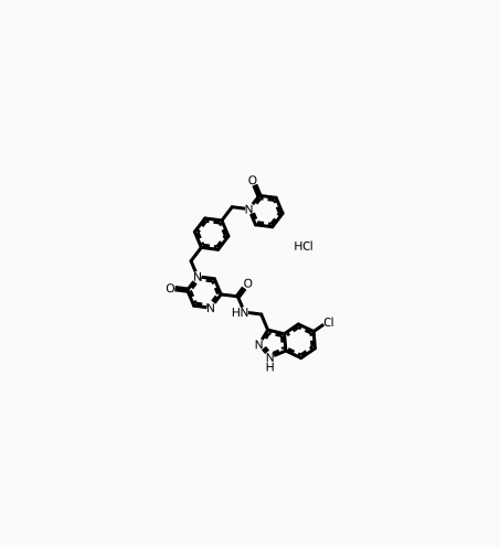 Cl.O=C(NCc1n[nH]c2ccc(Cl)cc12)c1cn(Cc2ccc(Cn3ccccc3=O)cc2)c(=O)cn1